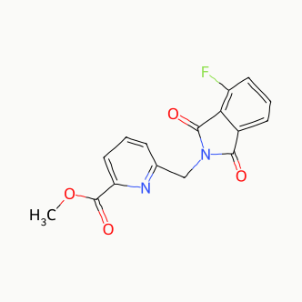 COC(=O)c1cccc(CN2C(=O)c3cccc(F)c3C2=O)n1